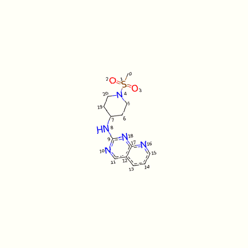 CS(=O)(=O)N1CCC(Nc2ncc3cccnc3n2)CC1